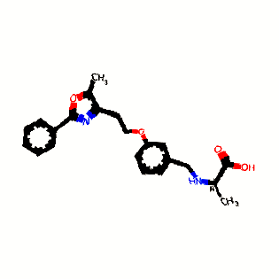 Cc1oc(-c2ccccc2)nc1CCOc1cccc(CN[C@H](C)C(=O)O)c1